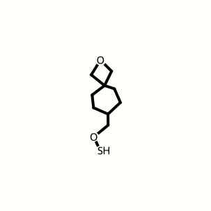 SOCC1CCC2(CC1)COC2